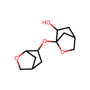 OC1CC2COC1(OC1CC3COC1C3)C2